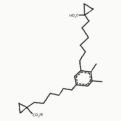 Cc1cc(CCCCCCC2(C(=O)O)CC2)cc(CCCCCCC2(C(=O)O)CC2)c1C